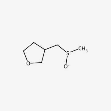 C[S+]([O-])CC1CCOC1